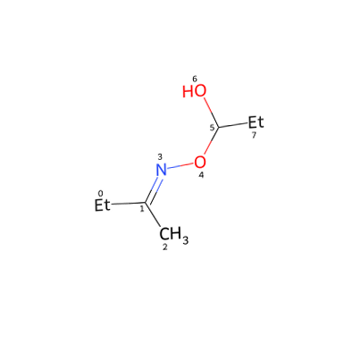 CCC(C)=NOC(O)CC